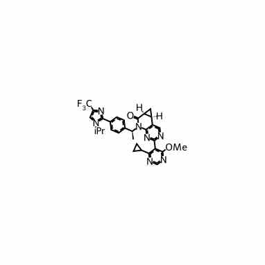 COc1ncnc(C2CC2)c1-c1ncc2c(n1)N([C@@H](C)c1ccc(-c3nc(C(F)(F)F)cn3C(C)C)cc1)C(=O)[C@H]1C[C@@H]21